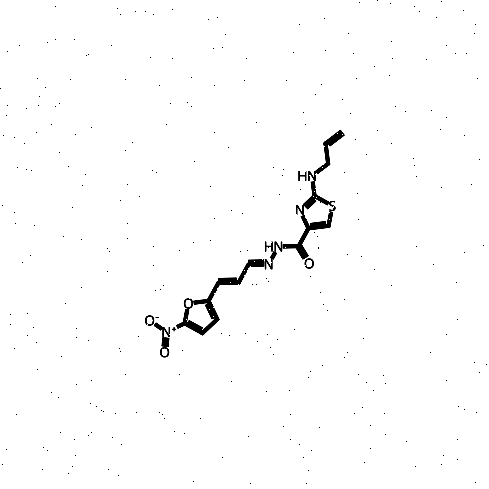 C=CCNc1nc(C(=O)NN=CC=Cc2ccc([N+](=O)[O-])o2)cs1